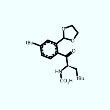 CC(C)(C)C[C@@H](NC(=O)O)C(=O)c1ccc(C(C)(C)C)cc1C1OCCO1